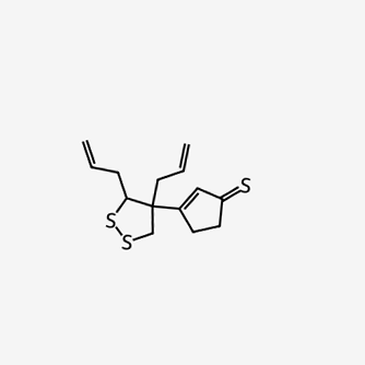 C=CCC1SSCC1(CC=C)C1=CC(=S)CC1